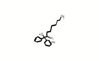 CCCCCCCC(N)C(C)(c1ccccc1)c1ccccc1.Cl